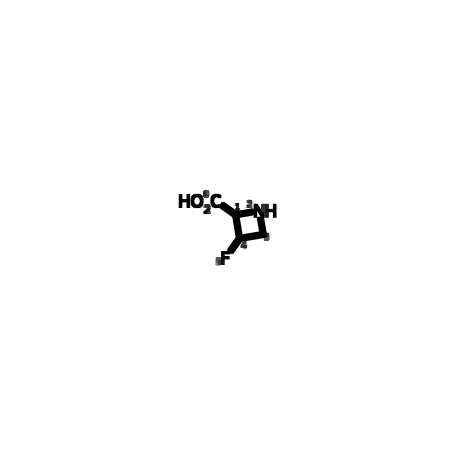 O=C(O)C1NCC1F